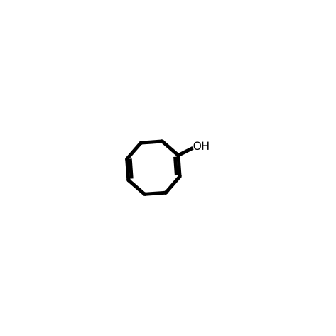 OC1=CCCC=CCC1